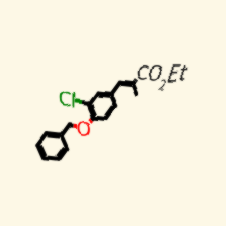 CCOC(=O)/C(C)=C/c1ccc(OCc2ccccc2)c(Cl)c1